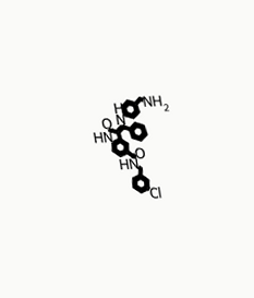 NCc1ccc(N/C(=C2\C(=O)Nc3ccc(C(=O)NCc4cccc(Cl)c4)cc32)c2ccccc2)cc1